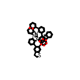 c1ccc(-c2cccc(-c3ccccc3)c2[N+]23c4ccccc4[N+]24c2cccc5c2[N+]2(c6c(ccc7c8ccccc8n(c67)-c6cccc[n+]62)-c2cc6c(cc2-5)CCS6)C43)cc1